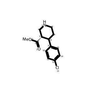 COC(=O)[C@@H]1CNCCC1c1ccc(Cl)cc1